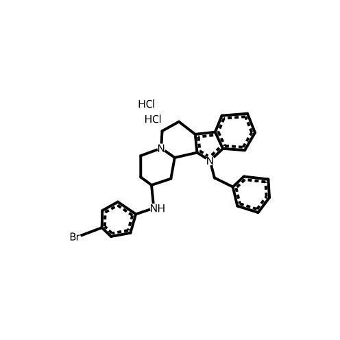 Brc1ccc(NC2CCN3CCc4c(n(Cc5ccccc5)c5ccccc45)C3C2)cc1.Cl.Cl